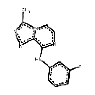 Cc1nnc2c(Nc3cccc(F)c3)nccn12